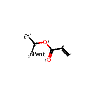 [CH2]CC(CCCCC)OC(=O)C=C